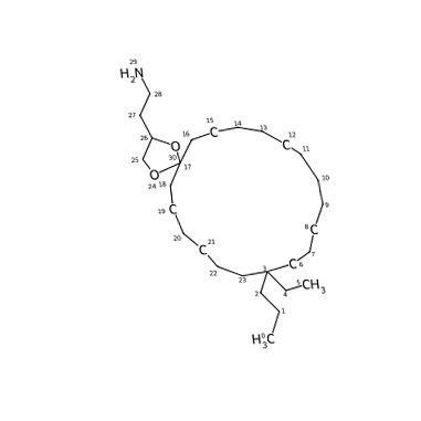 CCCC1(CC)CCCCCCCCCCCC2(CCCCCC1)OCC(CCN)O2